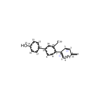 C=C(/C=C\C(=C/C)c1ccc(-c2ccc(O)cc2)cc1F)CCC